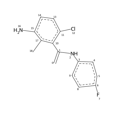 C=C(Nc1ccc(F)cc1)c1c(Cl)ccc(N)c1C